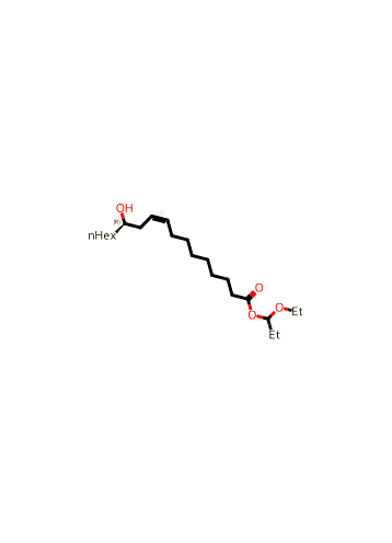 CCCCCC[C@@H](O)C/C=C\CCCCCCCC(=O)OC(CC)OCC